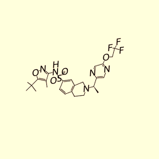 Cc1c(NS(=O)(=O)c2ccc3c(c2)CN([C@H](C)c2cnc(OCC(F)(F)F)cn2)CC3)noc1C(C)(C)C